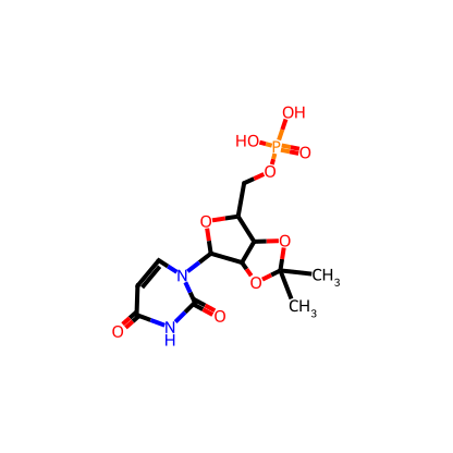 CC1(C)OC2C(COP(=O)(O)O)OC(n3ccc(=O)[nH]c3=O)C2O1